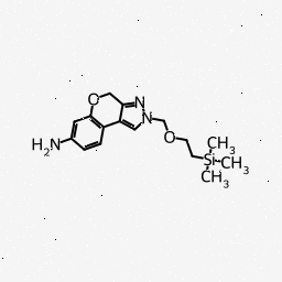 C[Si](C)(C)CCOCn1cc2c(n1)COc1cc(N)ccc1-2